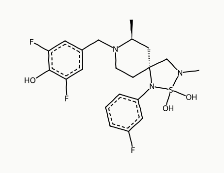 C[C@H]1C[C@]2(CCN1Cc1cc(F)c(O)c(F)c1)CN(C)S(O)(O)N2c1cccc(F)c1